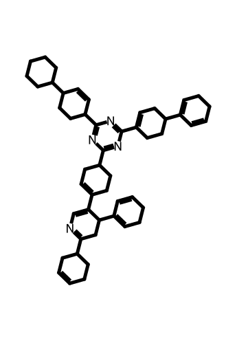 C1=CC(C2CC=C(c3nc(C4C=CC(C5CCCCC5)CC4)nc(C4CC=C(C5=CN=C(C6CC=CCC6)CC5C5=CCCC=C5)CC4)n3)CC2)=CCC1